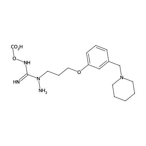 N=C(NOC(=O)O)N(N)CCCOc1cccc(CN2CCCCC2)c1